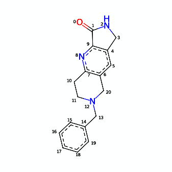 O=C1NCc2cc3c(nc21)CCN(Cc1ccccc1)C3